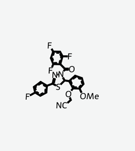 COc1cccc(C2SC(c3ccc(F)cc3)=NN2C(=O)c2c(F)cc(F)cc2F)c1OCC#N